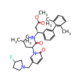 COC(=O)C[C@H](NC(=O)C(CC(C)C)n1cc(CN2CC[C@@H](F)C2)ccc1=O)c1cccc(-c2c(C)cccc2C)c1